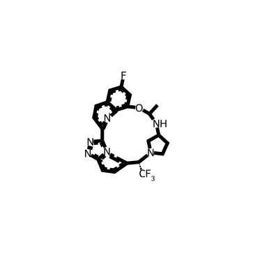 CC1N[C@@]2(C)CCN(C2)[C@H](C(F)(F)F)c2ccc3nnc(n3c2)-c2ccc3cc(F)cc(c3n2)O1